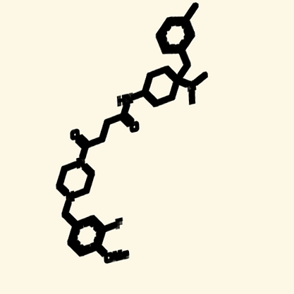 COc1ccc(CN2CCN(C(=O)CCC(=O)NC3CCC(Cc4cccc(C)c4)(N(C)C)CC3)CC2)cc1F